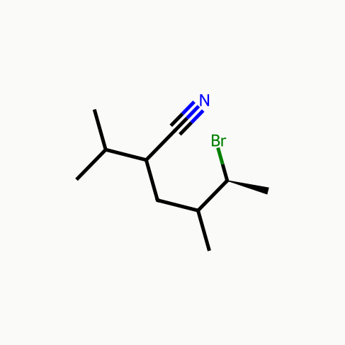 CC(C)C(C#N)CC(C)[C@H](C)Br